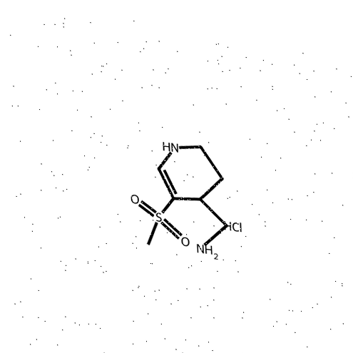 CS(=O)(=O)C1=CNCCC1CN.Cl